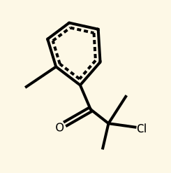 Cc1ccccc1C(=O)C(C)(C)Cl